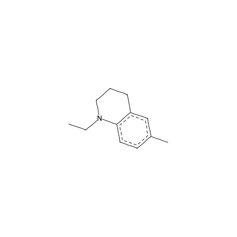 CCN1CCCc2cc(C)ccc21